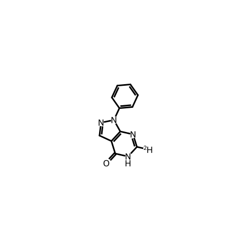 [2H]c1nc2c(cnn2-c2ccccc2)c(=O)[nH]1